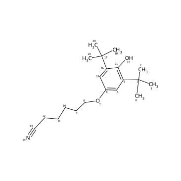 CC(C)(C)c1cc(OCCCCCC#N)cc(C(C)(C)C)c1O